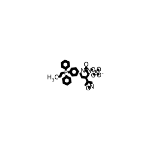 CC=C[P+](c1ccccc1)(c1ccccc1)c1ccccc1.O=C1N2CC=C(c3cnoc3)C(C2)N1OS(=O)(=O)[O-]